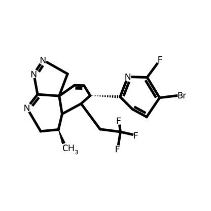 C[C@H]1CN=C2N=NCC23C=C[C@H](c2ccc(Br)c(F)n2)C(CC(F)(F)F)C13